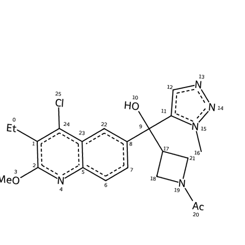 CCc1c(OC)nc2ccc(C(O)(c3cnnn3C)C3CN(C(C)=O)C3)cc2c1Cl